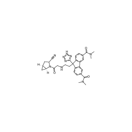 CN(C)C(=O)c1ccc2c(c1)-c1cc(C(=O)N(C)C)ccc1C2(CCNCC(=O)N1C(C#N)C[C@@H]2C[C@@H]21)c1nn[nH]n1